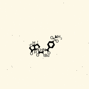 C[C@@H]1CN(C(=O)[C@@H](NC(=O)c2ccc(S(N)(=O)=O)cc2)C(C)(C)C)[C@@H]2C(=O)CO[C@H]12